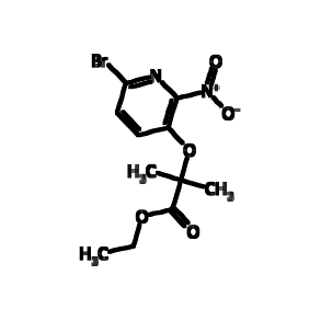 CCOC(=O)C(C)(C)Oc1ccc(Br)nc1[N+](=O)[O-]